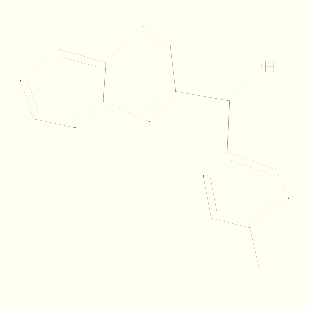 OC(c1ccc(F)cc1)c1ccc2ccccc2c1